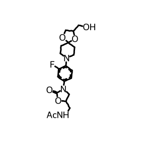 CC(=O)NCC1CN(c2ccc(N3CCC4(CC3)OCC(CO)O4)c(F)c2)C(=O)O1